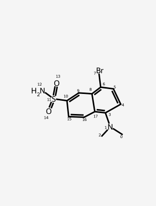 CN(C)c1ccc(Br)c2cc(S(N)(=O)=O)ccc12